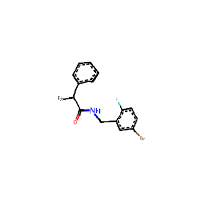 CCC(C(=O)NCc1cc(Br)ccc1F)c1ccccc1